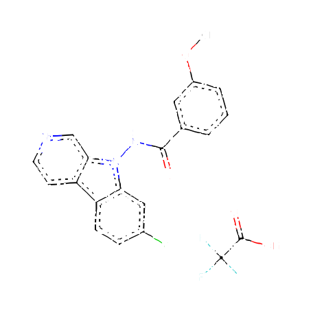 COc1cccc(C(=O)Nn2c3cnccc3c3ccc(Cl)cc32)c1.O=C(O)C(F)(F)F